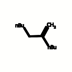 [CH2]CCCC(=C)CCCCC